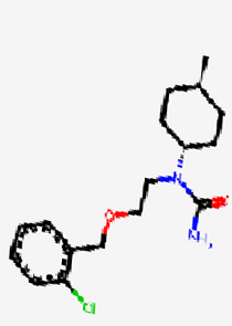 C[C@H]1CC[C@H](N(CCOCc2ccccc2Cl)C(N)=O)CC1